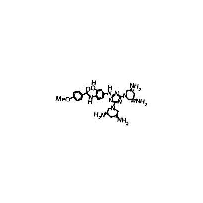 COc1ccc(C(=O)Nc2ccc(Nc3nc(N4C[C@H](N)C[C@H](N)C4)nc(N4C[C@H](N)C[C@H](N)C4)n3)cc2O)cc1